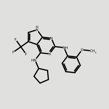 COc1[c]cccc1Nc1nc(NC2CCCC2)c2c(C(F)(F)F)c[nH]c2n1